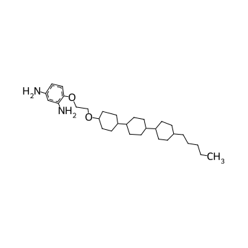 CCCCCC1CCC(C2CCC(C3CCC(OCCOc4ccc(N)cc4N)CC3)CC2)CC1